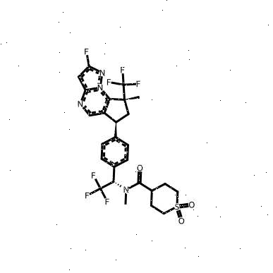 CN(C(=O)C1CCS(=O)(=O)CC1)[C@@H](c1ccc([C@@H]2C[C@@](C)(C(F)(F)F)c3c2cnc2cc(F)nn32)cc1)C(F)(F)F